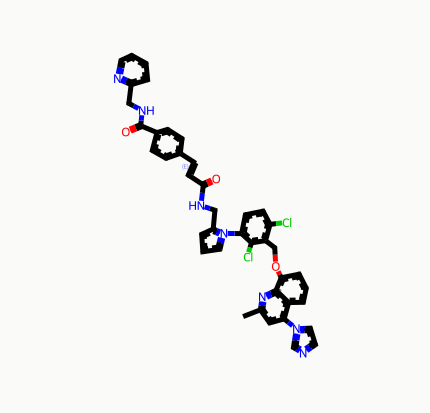 Cc1cc(-n2ccnc2)c2cccc(OCc3c(Cl)ccc(-n4cccc4CNC(=O)/C=C/c4ccc(C(=O)NCc5ccccn5)cc4)c3Cl)c2n1